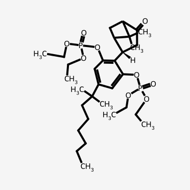 CCCCCCC(C)(C)c1cc(OP(=O)(OCC)OCC)c([C@H]2CC(=O)C3CC2C3(C)C)c(OP(=O)(OCC)OCC)c1